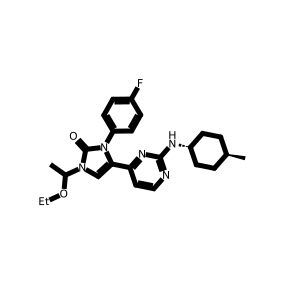 CCOC(C)n1cc(-c2ccnc(N[C@H]3CC[C@H](C)CC3)n2)n(-c2ccc(F)cc2)c1=O